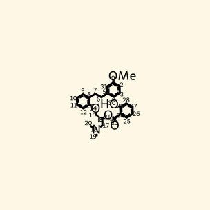 COc1cccc(CCc2ccccc2OC[C@H](CN(C)C)OC(=O)c2ccccc2O)c1